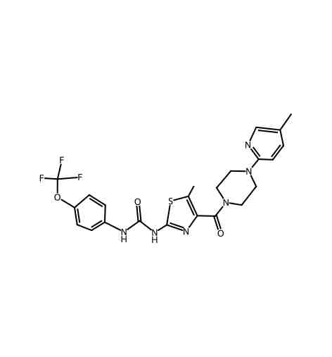 Cc1ccc(N2CCN(C(=O)c3nc(NC(=O)Nc4ccc(OC(F)(F)F)cc4)sc3C)CC2)nc1